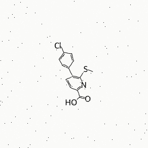 CSc1nc(C(=O)O)ccc1-c1ccc(Cl)cc1